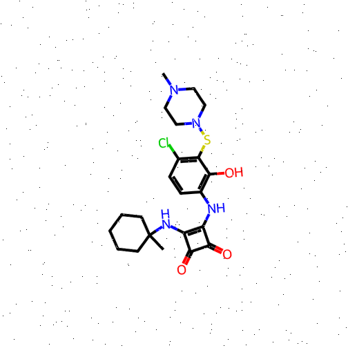 CN1CCN(Sc2c(Cl)ccc(Nc3c(NC4(C)CCCCC4)c(=O)c3=O)c2O)CC1